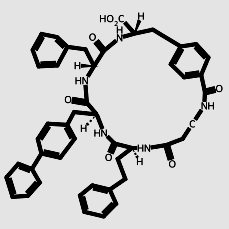 O=C1CCNC(=O)c2ccc(cc2)C[C@@H](C(=O)O)NC(=O)[C@@H](Cc2ccccc2)NC(=O)[C@H](Cc2ccc(-c3ccccc3)cc2)NC(=O)[C@H](CCc2ccccc2)N1